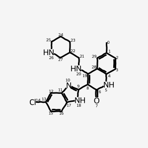 Cc1ccc2[nH]c(=O)c(-c3nc4cc(Cl)ccc4[nH]3)c(NCC3CCCNC3)c2c1